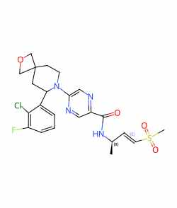 C[C@H](/C=C/S(C)(=O)=O)NC(=O)c1cnc(N2CCC3(COC3)CC2c2cccc(F)c2Cl)cn1